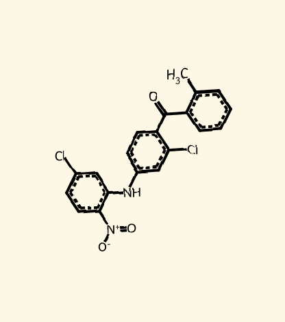 Cc1ccccc1C(=O)c1ccc(Nc2cc(Cl)ccc2[N+](=O)[O-])cc1Cl